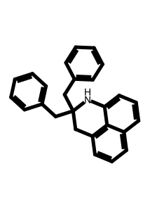 c1ccc(CC2(Cc3ccccc3)Cc3cccc4cccc(c34)N2)cc1